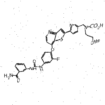 COCCN(Cc1ccc(-c2cc3nccc(Oc4ccc(NC(=O)Nc5cccc(C(N)=O)c5)cc4F)c3s2)nc1)C(=O)O